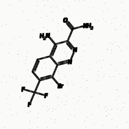 NC(=O)c1nnc2c(Br)c(C(F)(F)F)ccc2c1N